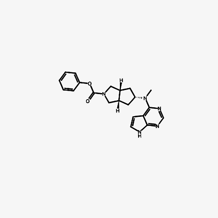 CN(c1ncnc2[nH]ccc12)[C@@H]1C[C@@H]2CN(C(=O)Oc3ccccc3)C[C@@H]2C1